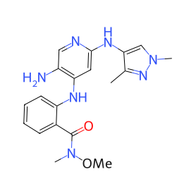 CON(C)C(=O)c1ccccc1Nc1cc(Nc2cn(C)nc2C)ncc1N